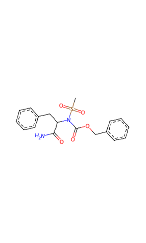 CS(=O)(=O)N(C(=O)OCc1ccccc1)C(Cc1ccccc1)C(N)=O